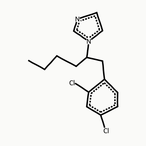 CCCCC(Cc1ccc(Cl)cc1Cl)n1ccnc1